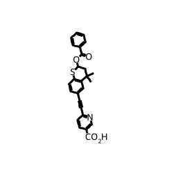 CC1(C)CC(OC(=O)c2ccccc2)Sc2ccc(C#Cc3ccc(C(=O)O)cn3)cc21